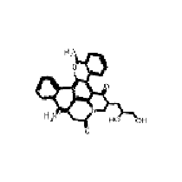 NC(=O)c1ccccc1-c1c(I)c(-c2ccccc2C(N)=O)c2c3c1C(=O)CC(=O)N3CC(CC(O)CO)C2=O